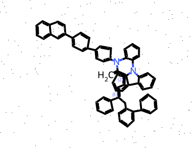 C=C(/C=C\C=C(/Cc1ccccc1-c1ccccc1)c1ccccc1)N(c1ccc(-c2ccc(-c3ccc4ccccc4c3)cc2)cc1)c1ccccc1-n1c2ccccc2c2ccccc21